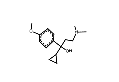 COc1ccc(C(O)(CCN(C)C)C2CC2)cc1